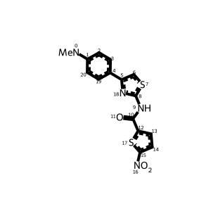 CNc1ccc(-c2csc(NC(=O)c3ccc([N+](=O)[O-])s3)n2)cc1